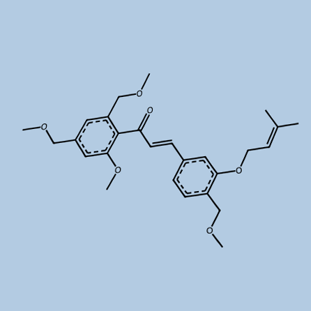 COCc1cc(COC)c(C(=O)C=Cc2ccc(COC)c(OCC=C(C)C)c2)c(OC)c1